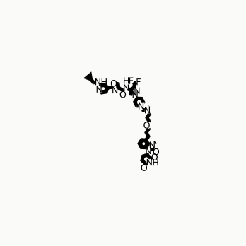 CN(CCCOCCCc1cccc2c1n(C)c(=O)n2[C@H]1CCC(=O)NC1=O)CN1CCC(n2cc(NC(=O)c3coc(-c4ccnc(NCC5CC5)c4)n3)c(C(F)F)n2)CC1